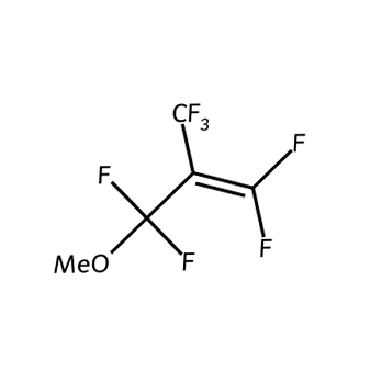 COC(F)(F)C(=C(F)F)C(F)(F)F